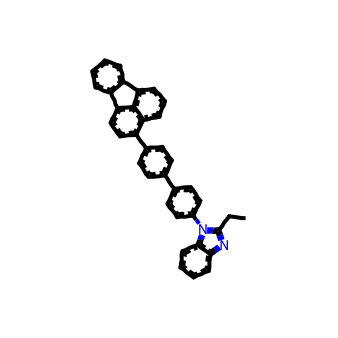 CCc1nc2ccccc2n1-c1ccc(-c2ccc(-c3ccc4c5c(cccc35)-c3ccccc3-4)cc2)cc1